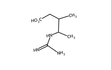 CC(CC(=O)O)C(C)NC(=N)N